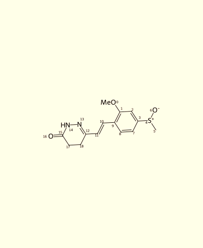 COc1cc([S+](C)[O-])ccc1C=CC1=NNC(=O)CC1